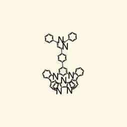 c1ccc(-c2cc(-c3ccc(-c4cc(-n5c6ccccc6c6ccccc65)c(-n5c6cccnc6c6ncccc65)c(-n5c6ccccc6c6ccccc65)c4)cc3)nc(-c3ccccc3)n2)cc1